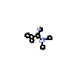 C1=CCC(C2=NC(c3cc(C4=NCC=C4)cc(-c4cc5ccccc5c5ccccc45)c3)N3C(c4ccccc4)N23)C=C1